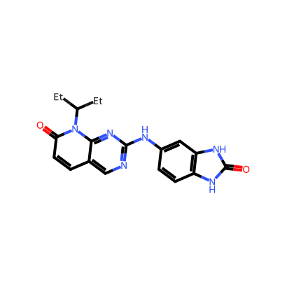 CCC(CC)n1c(=O)ccc2cnc(Nc3ccc4[nH]c(=O)[nH]c4c3)nc21